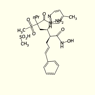 CCCC(C[C@@H](c1cc(C)ccn1)[C@H](C/C=C/c1ccccc1)C(=O)NO)(C(=O)NN)S(C)(=O)=O.CS(=O)(=O)O